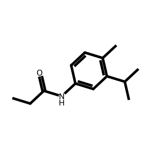 CCC(=O)Nc1ccc(C)c(C(C)C)c1